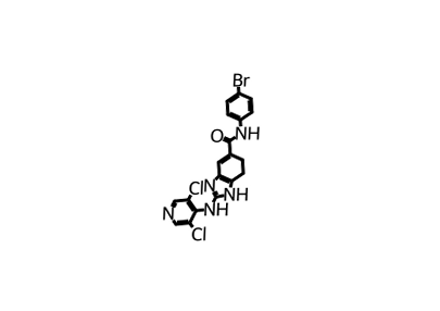 O=C(Nc1ccc(Br)cc1)C1=Cc2nc(Nc3c(Cl)cncc3Cl)[nH]c2CC1